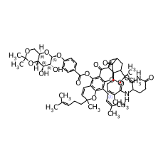 CC(C)=CCCC1(C)C=Cc2c(c(CC=C(C)C)c3c(c2OC(=O)c2ccc(O[C@@H]4O[C@@H]5COC(C)(C)O[C@H]5[C@H](O)[C@H]4O)cc2)C(=O)C2=CC4CC5C(C)(C)OC(C/C=C(/C)C(=O)NC6CCC(=O)NC6=O)(C4=O)C25O3)O1